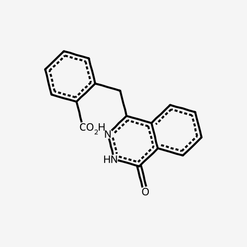 O=C(O)c1ccccc1Cc1n[nH]c(=O)c2ccccc12